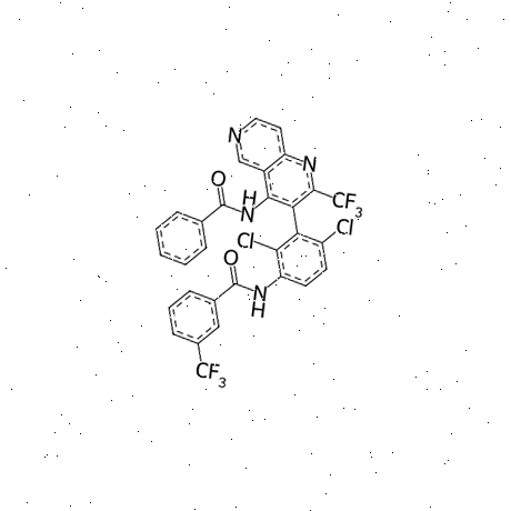 O=C(Nc1ccc(Cl)c(-c2c(C(F)(F)F)nc3ccncc3c2NC(=O)c2ccccc2)c1Cl)c1cccc(C(F)(F)F)c1